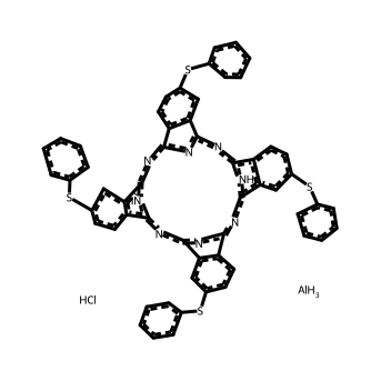 Cl.[AlH3].c1ccc(Sc2ccc3c(c2)-c2nc-3nc3[nH]c(nc4nc(nc5[nH]c(n2)c2ccc(Sc6ccccc6)cc52)-c2ccc(Sc5ccccc5)cc2-4)c2ccc(Sc4ccccc4)cc32)cc1